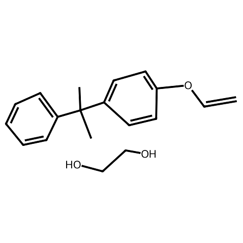 C=COc1ccc(C(C)(C)c2ccccc2)cc1.OCCO